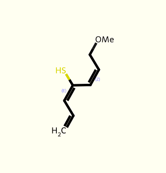 C=C/C=C(S)\C=C/COC